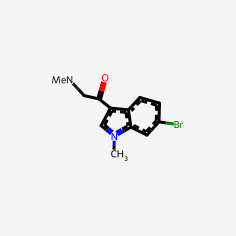 CNCC(=O)c1cn(C)c2cc(Br)ccc12